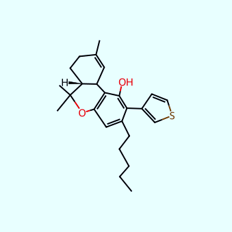 CCCCCc1cc2c(c(O)c1-c1ccsc1)C1C=C(C)CC[C@H]1C(C)(C)O2